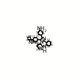 Nc1ccc(-c2nc3n(c2-c2ccc(C4(N)CCC4)cc2)-c2cccnc2Nc2ccccc2-3)cc1